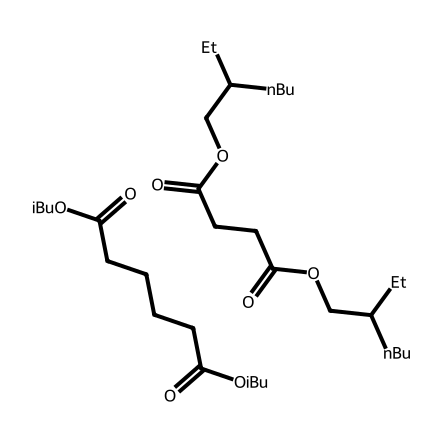 CC(C)COC(=O)CCCCC(=O)OCC(C)C.CCCCC(CC)COC(=O)CCC(=O)OCC(CC)CCCC